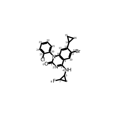 O=c1nc(NC2CC2F)c2cc(Br)c(C3CC3)cc2n1-c1ccccc1Cl